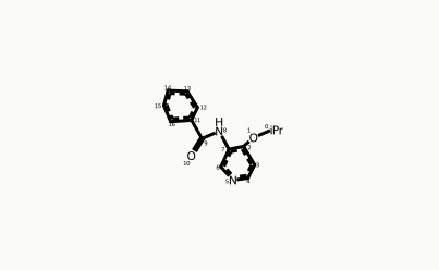 CC(C)Oc1ccncc1NC(=O)c1ccccc1